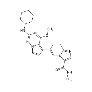 CNC(=O)c1cnc2ccc(-c3ccn4nc(NC5CCCCC5)nc(OC)c34)cn12